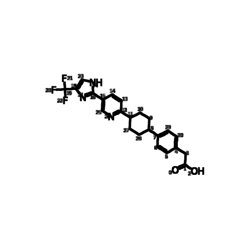 O=C(O)Cc1ccc(C2CCC(c3ccc(-c4nc(C(F)(F)F)c[nH]4)cn3)CC2)cc1